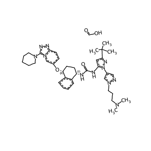 CN(C)CCCn1cc(-n2nc(C(C)(C)C)cc2NC(=O)N[C@H]2CC[C@@H](Oc3ccc4nnc(N5CCCCC5)n4c3)c3ccccc32)cn1.O=CO